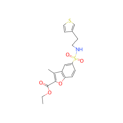 CCOC(=O)c1oc2ccc(S(=O)(=O)NCCc3ccsc3)cc2c1C